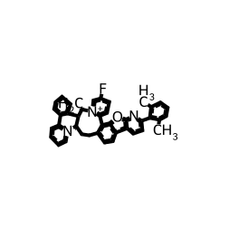 C=C1C2c3ccccc3-c3cccc[n+]3C2CCc2ccc3c(oc4nc(-c5c(C)cccc5C)ccc43)c2-c2ccc(F)c[n+]21